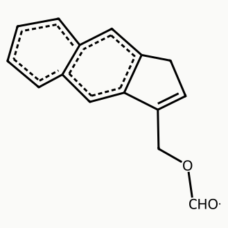 O=[C]OCC1=CCc2cc3ccccc3cc21